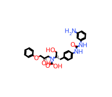 Nc1cccc(NC(=O)Nc2ccc(C[C@@H](CO)N(C[C@H](O)COc3ccccc3)C(=O)O)cc2)c1